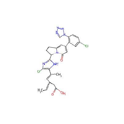 C/C=C(\C=C(/C)c1[nH]c(C2CCc3cc(-c4cc(Cl)ccc4-n4cnnn4)cc(=O)n32)nc1Cl)CC(=O)O